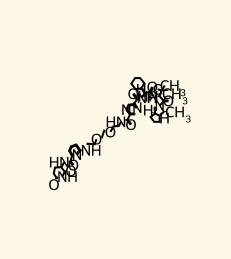 C[C@@H]1[C@H]2CCC[C@H]2CN1C(=O)[C@@H](NC(=O)C(NC(=O)c1cnc(C(=O)NCCOCCOCCNc2cccc(C(=O)NC3CCC(=O)NC3=O)n2)cn1)C1CCCCC1)C(C)(C)C